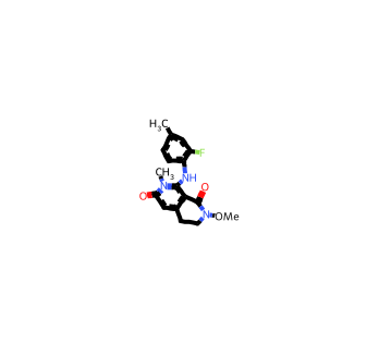 CON1CCc2cc(=O)n(C)c(Nc3ccc(C)cc3F)c2C1=O